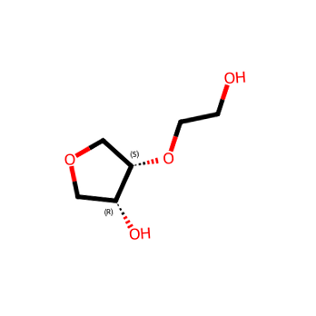 OCCO[C@H]1COC[C@H]1O